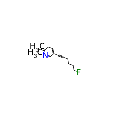 CC1(C)CC=C(C#CCCCCF)C=N1